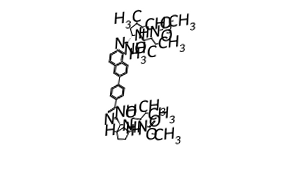 COC(=O)N[C@H](C(=O)N1[C@@H]2CC[C@@H](C2)[C@H]1c1ncc(-c2ccc(-c3ccc4c(ccc5nc([C@@H]6C[C@@H](C)[C@@H](C)N6C(=O)[C@@H](NC(=O)OC)C(C)C)[nH]c54)c3)cc2)[nH]1)C(C)C